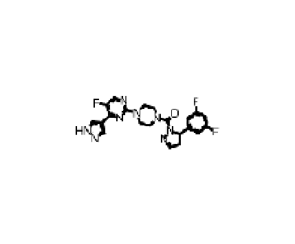 O=C(N1CCN(c2ncc(F)c(-c3cn[nH]c3)n2)CC1)N1N=CCC1c1cc(F)cc(F)c1